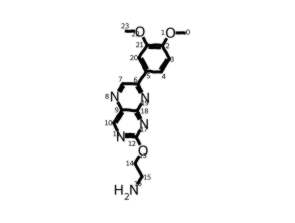 COc1ccc(-c2cnc3cnc(OCCN)nc3n2)cc1OC